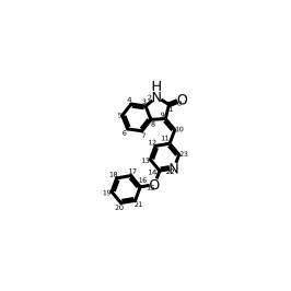 O=C1Nc2ccccc2/C1=C\c1ccc(Oc2ccccc2)nc1